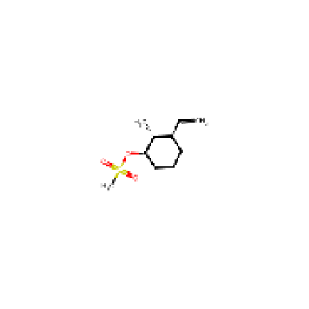 C=C[C@H]1CCC[C@@H](OS(C)(=O)=O)[C@@H]1C